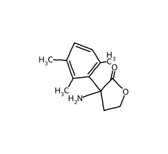 Cc1ccc(C)c(C2(N)CCOC2=O)c1C